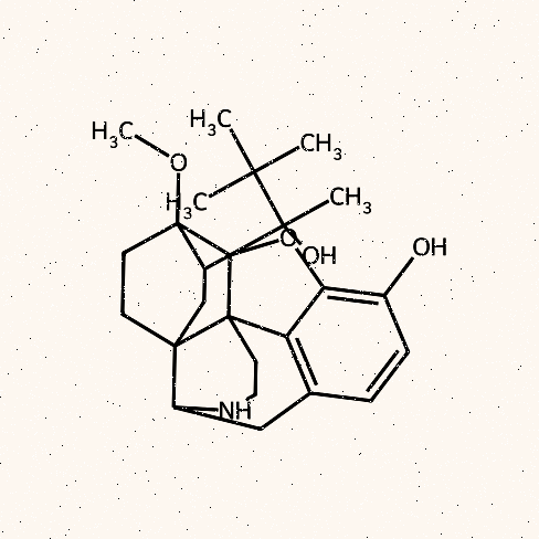 COC12CCC3(CC1C(C)(O)C(C)(C)C)C1Cc4ccc(O)c5c4C3(CCN1)C2O5